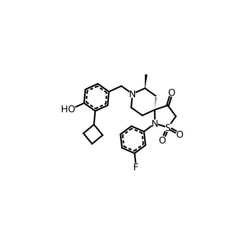 C[C@H]1C[C@]2(CCN1Cc1ccc(O)c(C3CCC3)c1)C(=O)CS(=O)(=O)N2c1cccc(F)c1